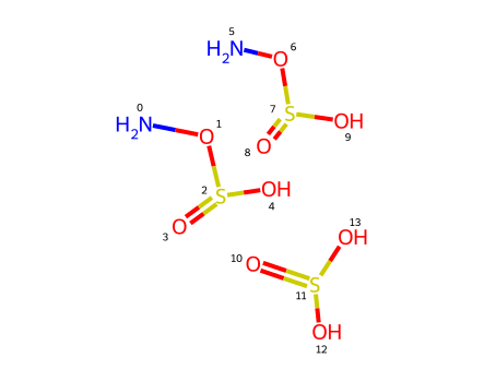 NOS(=O)O.NOS(=O)O.O=S(O)O